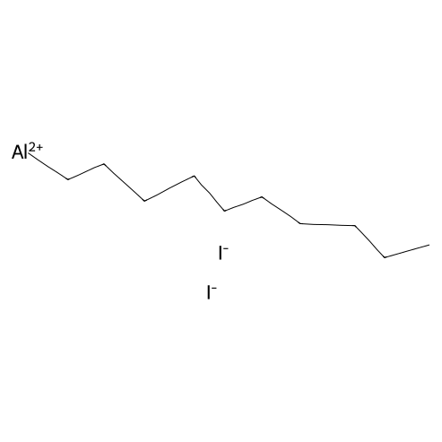 CCCCCCCCC[CH2][Al+2].[I-].[I-]